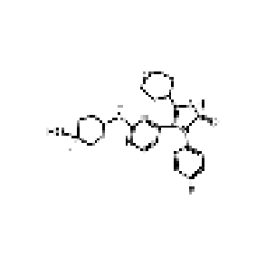 C[C@]1(O)CC[C@@H](Nc2nccc(-c3c(C4CCOCC4)[nH]c(=O)n3-c3ccc(F)cc3)n2)CC1